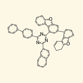 C1=Cc2c(oc3cccc(-c4cc(-c5nc(-c6ccc(-c7ccccc7)cc6)nc(-c6ccc7ccccc7c6)n5)c5c(c4)oc4ccccc45)c23)CC1